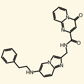 O=C(NCc1cn2cc(NCCc3ccccc3)ccc2n1)c1cc(=O)n2ccccc2n1